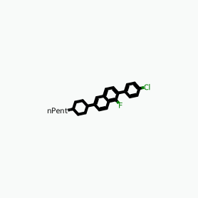 CCCCCC1CCC(c2ccc3c(F)c(-c4ccc(Cl)cc4)ccc3c2)CC1